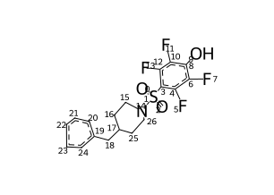 O=S(=O)(c1c(F)c(F)c(O)c(F)c1F)N1CCC(Cc2ccccc2)CC1